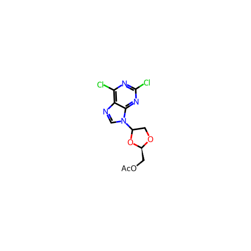 CC(=O)OC[C@@H]1OCC(n2cnc3c(Cl)nc(Cl)nc32)O1